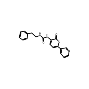 O=C(NCCc1ccccc1)Nc1ccc(-c2cccnc2)oc1=O